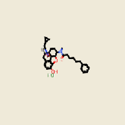 CN(C(=O)CCCCCc1ccccc1)C1CC[C@@]2(O)[C@H]3Cc4ccc(O)c5c4[C@@]2(CCN3CC2CC2)C1O5.Cl